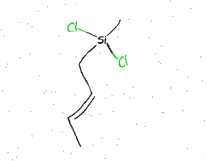 CC=CC[Si](C)(Cl)Cl